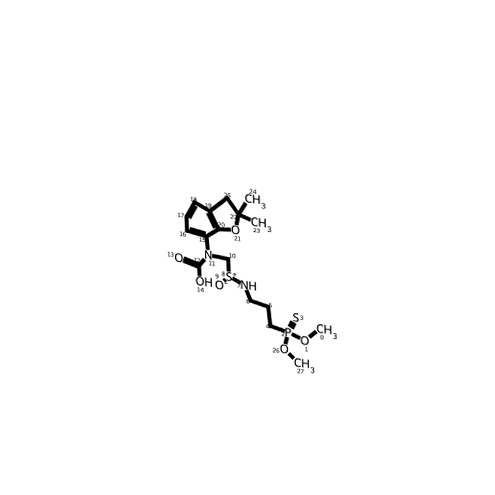 COP(=S)(CCCN[S+]([O-])CN(C(=O)O)c1cccc2c1OC(C)(C)C2)OC